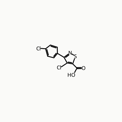 O=C(O)c1snc(-c2ccc(Cl)cc2)c1Cl